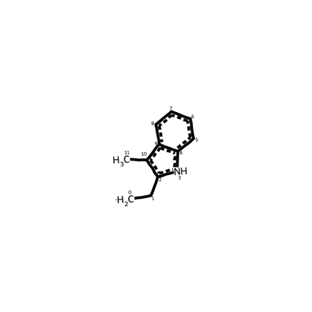 [CH2]Cc1[nH]c2ccccc2c1C